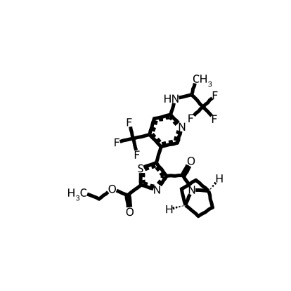 CCOC(=O)c1nc(C(=O)N2[C@H]3CC[C@@H]2CC3)c(-c2cnc(NC(C)C(F)(F)F)cc2C(F)(F)F)s1